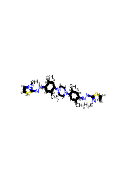 Cc1cc(N2CCN(c3cc(C)c(/N=N/c4scc[n+]4C)cc3C)CC2)c(C)cc1/N=N/c1scc[n+]1C